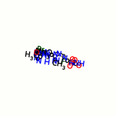 COc1cc(N2CCN(CC3CCN(c4cc5c(cc4F)C(=O)N(C4CCC(=O)NC4=O)C5=O)CC3)CC2)c(-c2cnn(C)c2)cc1Nc1ncc(Br)c(Nc2ccc3nccnc3c2P(C)(C)=O)n1